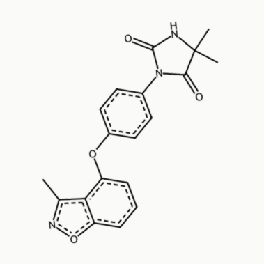 Cc1noc2cccc(Oc3ccc(N4C(=O)NC(C)(C)C4=O)cc3)c12